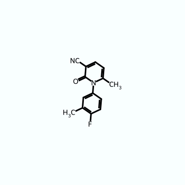 Cc1cc(-n2c(C)ccc(C#N)c2=O)ccc1F